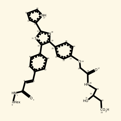 CCCCCCNC(=O)/C=C/c1ccc(-c2sc(-c3ccc[nH]3)nc2-c2ccc(OCC(=O)NCC(O)CC(=O)O)cc2)cc1